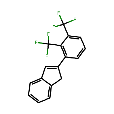 FC(F)(F)c1cccc(C2=Cc3ccccc3[CH]2)c1C(F)(F)F